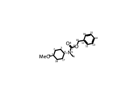 CO[C@H]1CC[C@H](N(C)C(=O)OCc2ccccc2)CC1